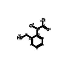 CCC(=O)N(Cl)c1ccccc1CO